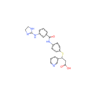 O=C(O)CC(Sc1ccc(NC(=O)c2cccc(NC3=NCCN3)c2)cc1)c1cccnc1